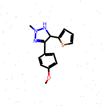 COc1ccc(C2=NN(C)NC2c2cccs2)cc1